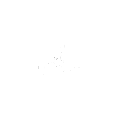 O=c1n(CC(CO)CO)c(=O)n(CC(CO)CO)c(=O)n1CC(CO)CO